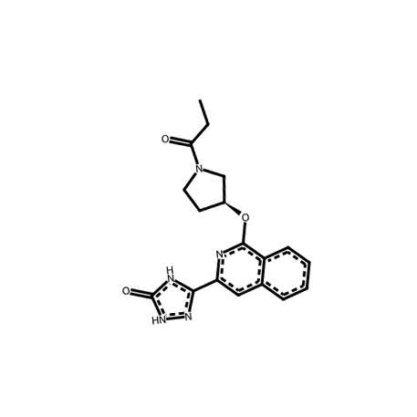 CCC(=O)N1CC[C@H](Oc2nc(-c3n[nH]c(=O)[nH]3)cc3ccccc23)C1